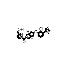 O=C(N1C[C@H]2C[C@H](Oc3cccc(-c4cscn4)c3Cl)C[C@H]2C1)n1ccc(CO)n1